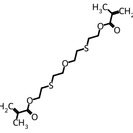 C=C(C)C(=O)OCCSCCOCCSCCOC(=O)C(=C)C